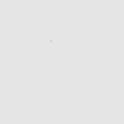 COc1ccc2cc(C(C)C(O)NC(C)C)ccc2c1